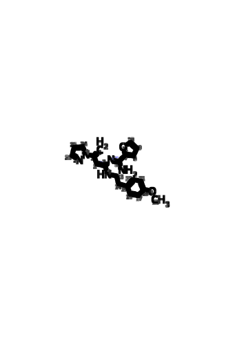 C=C(/C=C(\N=C(/N)c1ccco1)NCCc1ccc(OC)cc1)n1cccn1